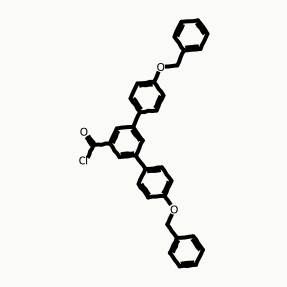 O=C(Cl)c1cc(-c2ccc(OCc3ccccc3)cc2)cc(-c2ccc(OCc3ccccc3)cc2)c1